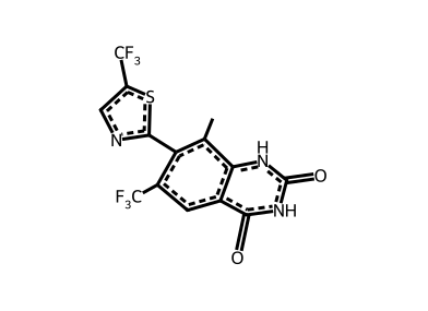 Cc1c(-c2ncc(C(F)(F)F)s2)c(C(F)(F)F)cc2c(=O)[nH]c(=O)[nH]c12